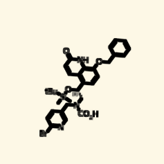 CC(C)(C)[Si](C)(C)O[C@@H](CN(Cc1ccc(Br)nc1)C(=O)O)c1ccc(OCc2ccccc2)c2[nH]c(=O)ccc12